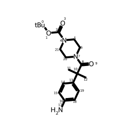 CC(C)(C)OC(=O)N1CCN(C(=O)C(C)(C)c2ccc(N)cc2)CC1